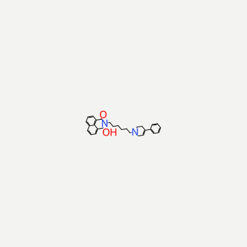 O=C1c2cccc3cccc(c23)C(O)N1CCCCCCN1CC=C(c2ccccc2)CC1